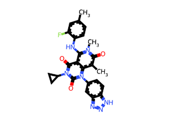 Cc1ccc(Nc2c3c(=O)n(C4CC4)c(=O)n(-c4ccc5[nH]nnc5c4)c3c(C)c(=O)n2C)c(F)c1